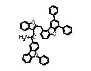 N/C(=N\c1c(Cc2cccc3oc4c(-c5ccccc5)cc(-c5ccccc5)cc4c23)oc2ccccc12)c1ccc2c(c1)c1ccccc1n2-c1ccccc1